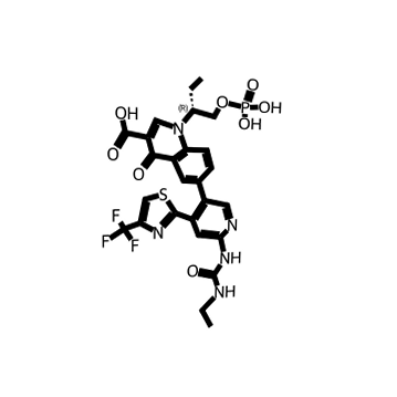 CCNC(=O)Nc1cc(-c2nc(C(F)(F)F)cs2)c(-c2ccc3c(c2)c(=O)c(C(=O)O)cn3[C@H](CC)COP(=O)(O)O)cn1